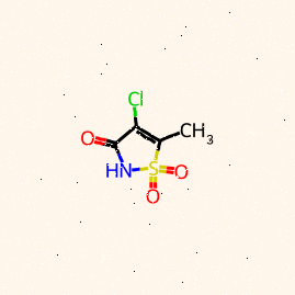 CC1=C(Cl)C(=O)NS1(=O)=O